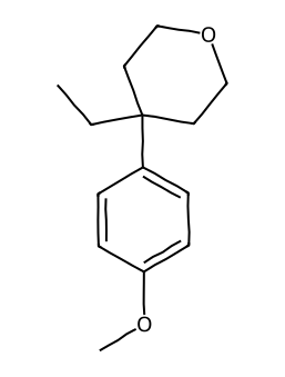 CCC1(c2ccc(OC)cc2)CCOCC1